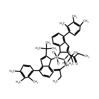 CCC(=O)N[B](NC(=O)CC)[Hf]([Cl])([Cl])([CH]1C(C(C)(C)C)=Cc2c(-c3ccc(C)c(C)c3C)cccc21)[CH]1C(C(C)(C)C)=Cc2c(-c3ccc(C)c(C)c3C)cccc21